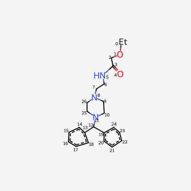 [CH2]COCC(=O)NCCN1CCN(C(c2ccccc2)c2ccccc2)CC1